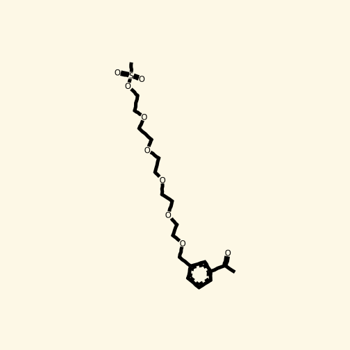 CC(=O)c1cccc(COCCOCCOCCOCCOCCOS(C)(=O)=O)c1